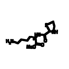 COC(=O)[C@H](CCCCN)NC(=O)C1NCCS1